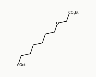 CCCCCCCCCCCCCCOCC(=O)OCC